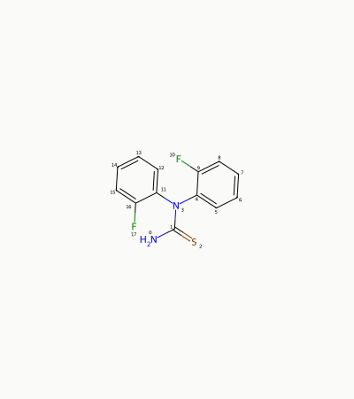 NC(=S)N(c1ccccc1F)c1ccccc1F